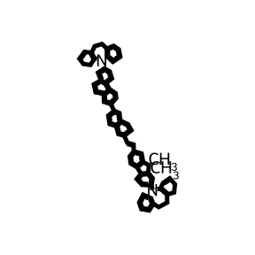 CC1(C)c2cc(/C=C/c3ccc4cc(-c5ccc6c(ccc7cc(N8C9=C(C=CCC9)CCc9ccccc98)ccc76)c5)ccc4c3)ccc2-c2ccc(N3C4=C(CCC=C4)CCc4ccccc43)cc21